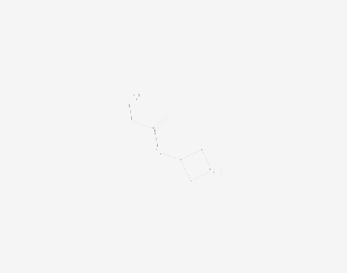 COCC(=O)NC1CNC1